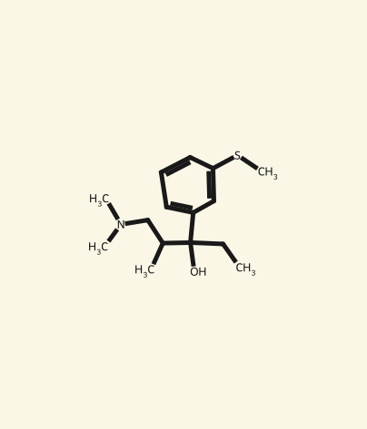 CCC(O)(c1cccc(SC)c1)C(C)CN(C)C